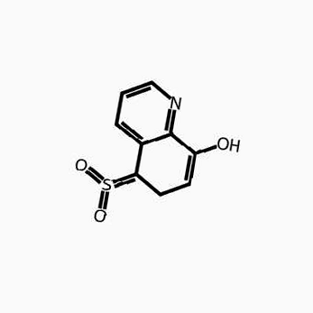 O=S(=O)=C1CC=C(O)c2ncccc21